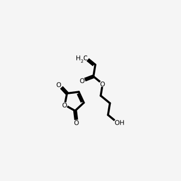 C=CC(=O)OCCCO.O=C1C=CC(=O)O1